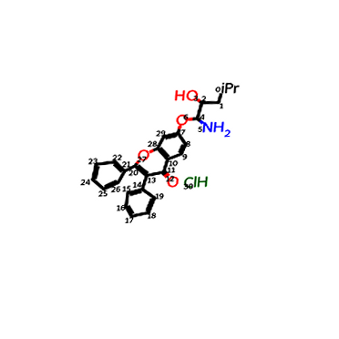 CC(C)CC(O)C(N)Oc1ccc2c(=O)c(-c3ccccc3)c(-c3ccccc3)oc2c1.Cl